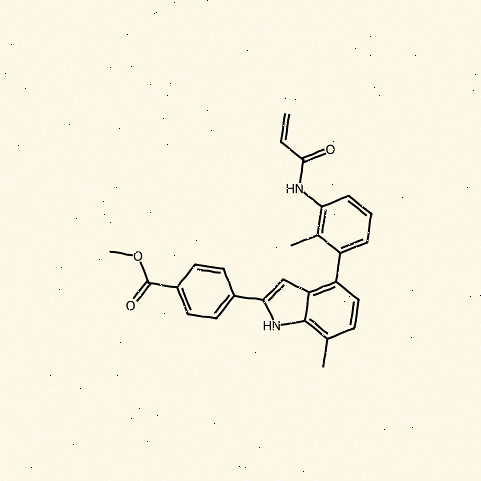 C=CC(=O)Nc1cccc(-c2ccc(C)c3[nH]c(-c4ccc(C(=O)OC)cc4)cc23)c1C